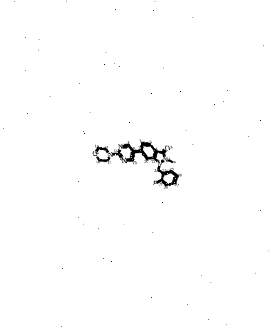 Cn1c(=O)c2ccc(-c3cnc(N4CCOCC4)nc3)cc2n1Cc1ccccc1F